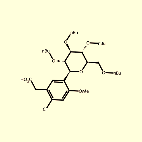 CCCCOC[C@H]1O[C@@H](c2cc(CC(=O)O)c(Cl)cc2OC)[C@H](OCCCC)[C@@H](OCCCC)[C@@H]1OCCCC